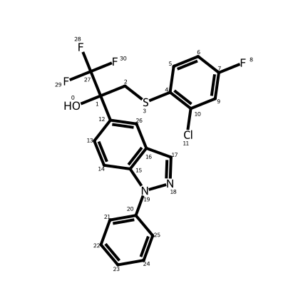 OC(CSc1ccc(F)cc1Cl)(c1ccc2c(cnn2-c2ccccc2)c1)C(F)(F)F